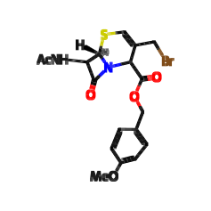 COc1ccc(COC(=O)C2C(CBr)=CS[C@H]3C(NC(C)=O)C(=O)N23)cc1